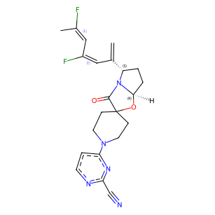 C=C(/C=C(F)\C=C(/C)F)[C@@H]1CC[C@H]2OC3(CCN(c4ccnc(C#N)n4)CC3)C(=O)N21